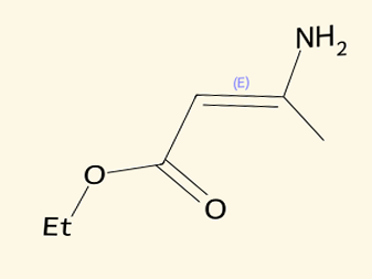 CCOC(=O)/C=C(\C)N